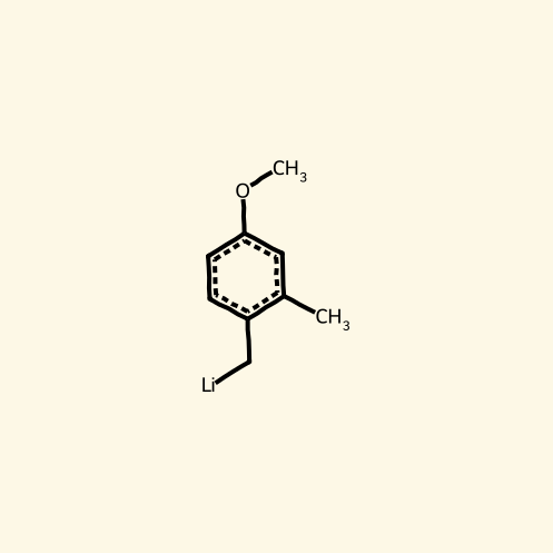 [Li][CH2]c1ccc(OC)cc1C